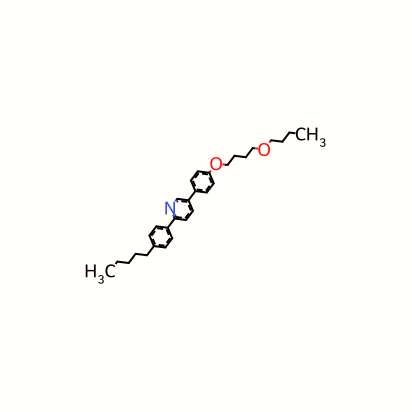 CCCCCc1ccc(-c2ccc(-c3ccc(OCCCCOCCCC)cc3)cn2)cc1